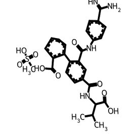 CC(C)C(NC(=O)c1ccc(-c2ccccc2C(=O)O)c(C(=O)Nc2ccc(C(=N)N)cc2)c1)C(=O)O.CS(=O)(=O)O